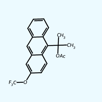 CC(=O)OC(C)(C)c1c2ccccc2cc2cc(OC(F)(F)F)ccc12